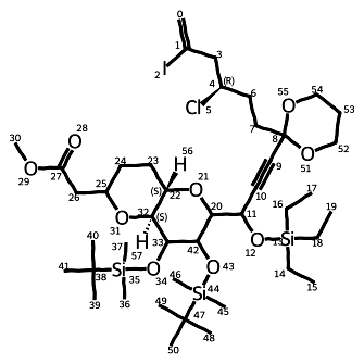 C=C(I)C[C@H](Cl)CCC1(C#CC(O[Si](CC)(CC)CC)C2O[C@H]3CCC(CC(=O)OC)O[C@@H]3C(O[Si](C)(C)C(C)(C)C)C2O[Si](C)(C)C(C)(C)C)OCCCO1